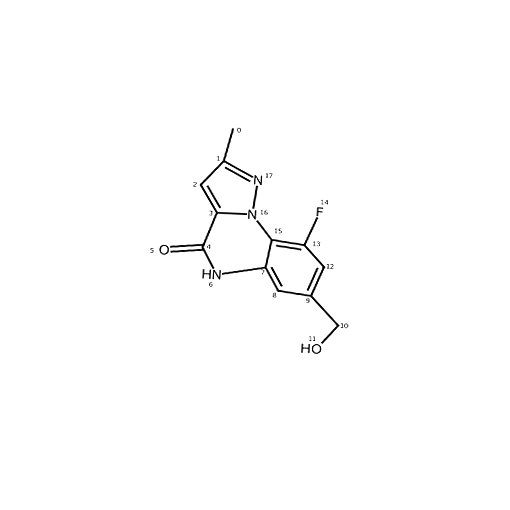 Cc1cc2c(=O)[nH]c3cc(CO)cc(F)c3n2n1